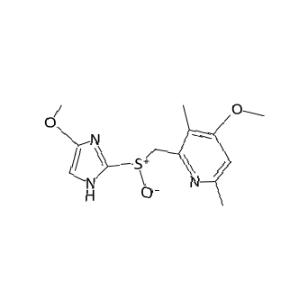 COc1c[nH]c([S+]([O-])Cc2nc(C)cc(OC)c2C)n1